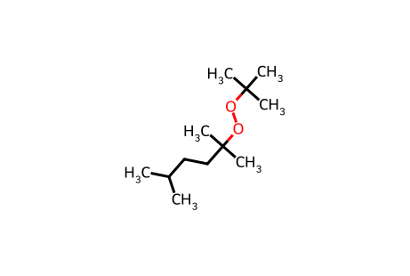 CC(C)CCC(C)(C)OOC(C)(C)C